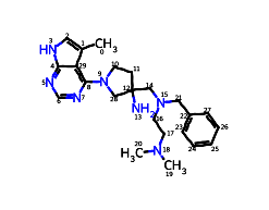 Cc1c[nH]c2ncnc(N3CCC(N)(CN(CCN(C)C)Cc4ccccc4)C3)c12